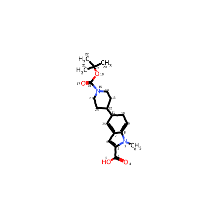 Cn1c(C(=O)O)cc2c1=CCC(C1CCN(C(=O)OC(C)(C)C)CC1)C=2